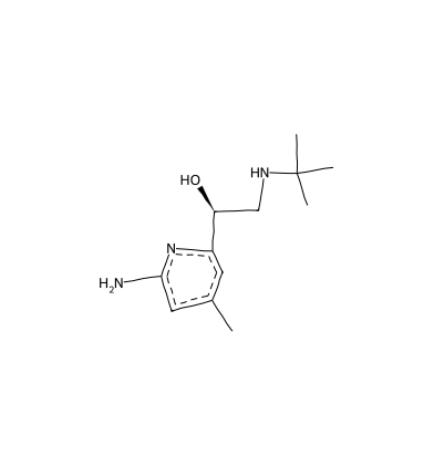 Cc1cc(N)nc([C@@H](O)CNC(C)(C)C)c1